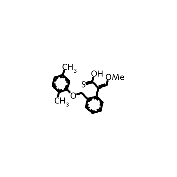 COC=C(C(O)=S)c1ccccc1COc1cc(C)ccc1C